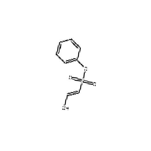 O=S(=O)(C=CO)Oc1ccccc1